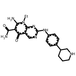 CCn1c(N)c(C(N)=O)c(=O)c2cnc(Nc3ccc(C4CCCNC4)cc3)nc21